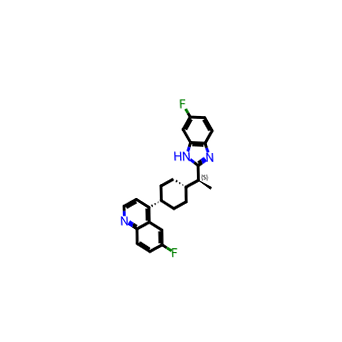 C[C@H](c1nc2ccc(F)cc2[nH]1)[C@H]1CC[C@@H](c2ccnc3ccc(F)cc32)CC1